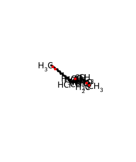 C=C(C)C(=O)OCCCC1(C)CC[Si](C)(C(CC)NC(C)(C)CCCCCCCCCCCCCCCCC)[Si](C)(C)O1.Cl